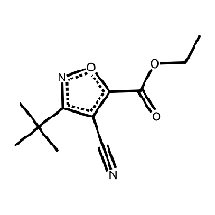 CCOC(=O)c1onc(C(C)(C)C)c1C#N